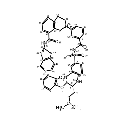 CN(C)CC[C@H](COc1ccccc1)Nc1ccc(S(=O)(=O)NC(=O)c2cccc(N3CCc4cccc(C(=O)Nc5nc6cnccc6s5)c4C3)n2)cc1[N+](=O)[O-]